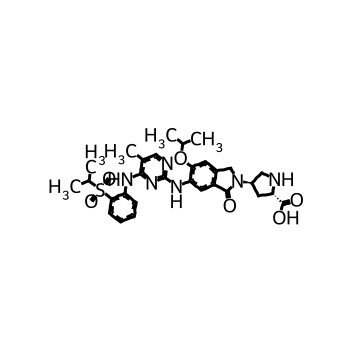 Cc1cnc(Nc2cc3c(cc2OC(C)C)CN([C@H]2CN[C@H](C(=O)O)C2)C3=O)nc1Nc1ccccc1S(=O)(=O)C(C)C